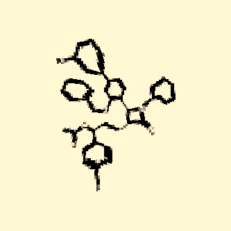 CC(=O)O[C@@H](CC[C@H]1C(=O)N(c2ccccc2)[C@@H]1c1ccc(-c2cccc(O)c2)cc1OCc1ccccc1)c1ccc(F)cc1